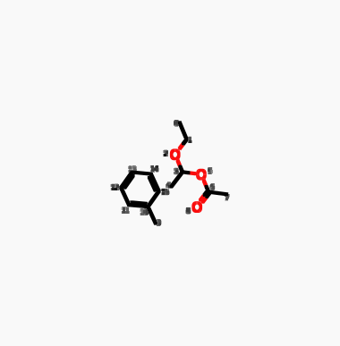 CCOC(C)OC(C)=O.Cc1ccccc1